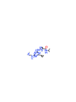 CC(C)NC(=O)c1cnc(Nc2nc(NCCN(C)C)nc(C3CC3)n2)n1C